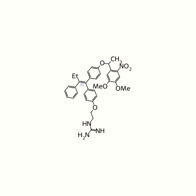 CC/C(=C(/c1ccc(OCCNC(=N)N)cc1)c1ccc(OC(C)c2cc(OC)c(OC)cc2[N+](=O)[O-])cc1)c1ccccc1